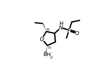 B[C@H]1CC(NP(C)(=O)CC)[C@@H](CC)O1